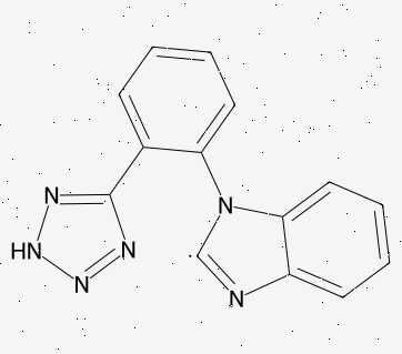 [c]1nc2ccccc2n1-c1ccccc1-c1nn[nH]n1